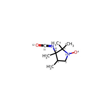 CC1CN([O])C(C)(C)C1(C)N=C=O